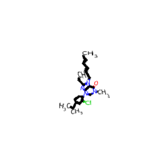 CCCCCCCn1c(CC)nc2c1C(=O)N(C)CN2c1ccc(C(C)C)cc1Cl